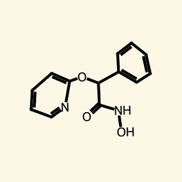 O=C(NO)C(Oc1ccccn1)c1ccccc1